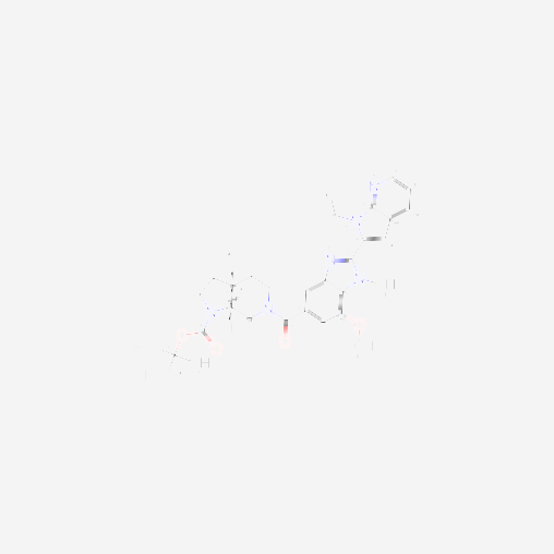 CCn1c(-c2nc3cc(C(=O)N4CC[C@H]5CCN(C(=O)OC(C)(C)C)[C@H]5C4)cc(OC)c3n2C)cc2cccnc21